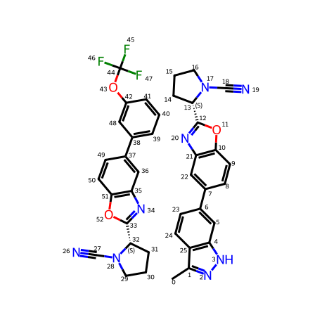 Cc1n[nH]c2cc(-c3ccc4oc([C@@H]5CCCN5C#N)nc4c3)ccc12.N#CN1CCC[C@H]1c1nc2cc(-c3cccc(OC(F)(F)F)c3)ccc2o1